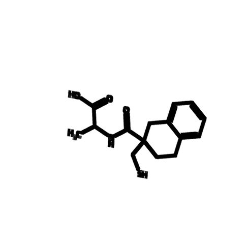 CC(NC(=O)C1(CS)CCc2ccccc2C1)C(=O)O